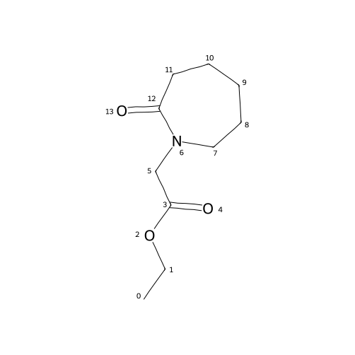 CCOC(=O)CN1CCCCCC1=O